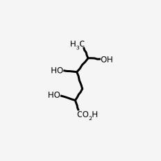 CC(O)C(O)CC(O)C(=O)O